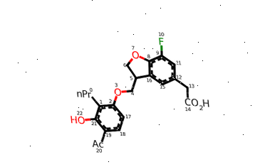 CCCc1c(OCC2COc3c(F)cc(CC(=O)O)cc32)ccc(C(C)=O)c1O